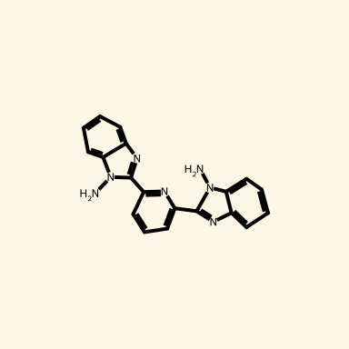 Nn1c(-c2cccc(-c3nc4ccccc4n3N)n2)nc2ccccc21